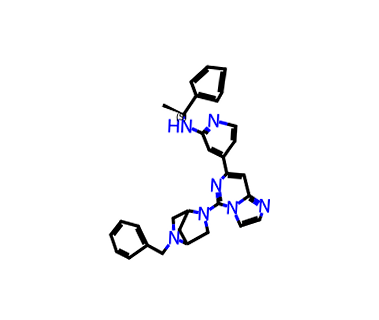 C[C@H](Nc1cc(-c2cc3nccn3c(N3CC4CC3CN4Cc3ccccc3)n2)ccn1)c1ccccc1